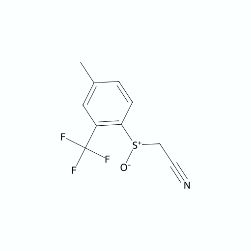 Cc1ccc([S+]([O-])CC#N)c(C(F)(F)F)c1